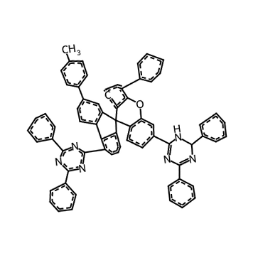 Cc1ccc(-c2ccc3c(c2)C2(c4ccc(C5=NC(c6ccccc6)=NC(c6ccccc6)N5)cc4Oc4c(-c5ccccc5)cccc42)c2cccc(-c4nc(-c5ccccc5)nc(-c5ccccc5)n4)c2-3)cc1